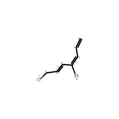 C=C/C=C(\C=C\CCl)CC